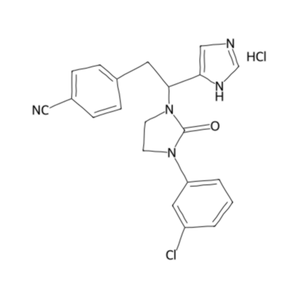 Cl.N#Cc1ccc(CC(c2cnc[nH]2)N2CCN(c3cccc(Cl)c3)C2=O)cc1